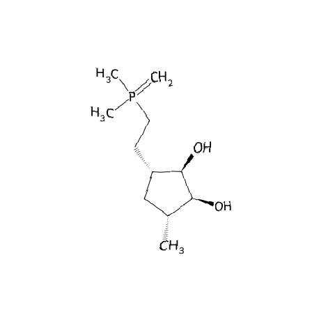 C=P(C)(C)CC[C@H]1C[C@@H](C)[C@H](O)[C@@H]1O